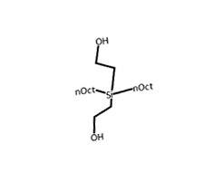 CCCCCCCC[Si](CCO)(CCO)CCCCCCCC